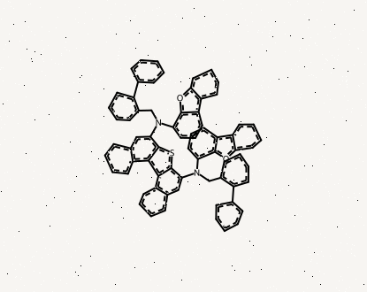 c1ccc(-c2ccccc2CN(c2cccc3c2oc2ccccc23)c2cc3ccccc3c3c2sc2c(N(Cc4ccccc4-c4ccccc4)c4cccc5c4oc4ccccc45)cc4ccccc4c23)cc1